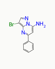 Nc1cc(-c2ccccc2)nc2c(Br)cnn12